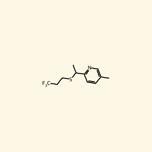 Cc1ccc(C(C)SCCC(F)(F)F)nc1